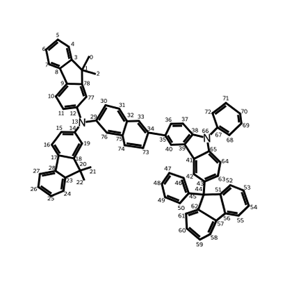 CC1(C)c2ccccc2-c2ccc(N(c3ccc4c(c3)C(C)(C)c3ccccc3-4)c3ccc4cc(-c5ccc6c(c5)c5cc(C7(c8ccccc8)c8ccccc8-c8ccccc87)ccc5n6-c5ccccc5)ccc4c3)cc21